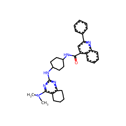 CN(C)c1nc(NC2CCC(NC(=O)c3cc(-c4ccccc4)nc4ccccc34)CC2)nc2c1CCCC2